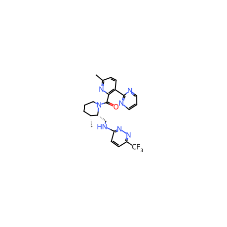 Cc1ccc(-c2ncccn2)c(C(=O)N2CCC[C@@H](C)[C@H]2CNc2ccc(C(F)(F)F)nn2)n1